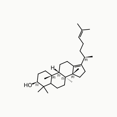 CC(C)=CCC[C@@H](C)C1=C2CC[C@H]3[C@@]4(C)CC[C@H](O)C(C)(C)C4CC[C@]3(C)[C@@]2(C)CC1